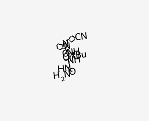 CC(C)(C)[C@H](NC(=O)c1nn(Cc2ccc(C#N)cc2)c2ccccc12)C(=O)NCCNC(N)=O